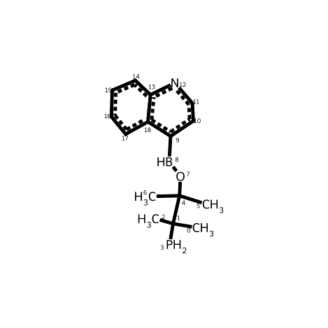 CC(C)(P)C(C)(C)OBc1ccnc2ccccc12